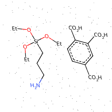 CCO[Si](CCCN)(OCC)OCC.O=C(O)c1ccc(C(=O)O)c(C(=O)O)c1